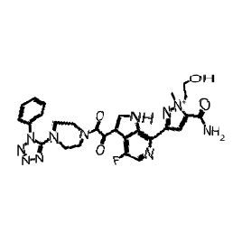 C[N+]1(CCO)N=C(c2ncc(F)c3c(C(=O)C(=O)N4CCN(c5nnnn5-c5ccccc5)CC4)c[nH]c23)C=C1C(N)=O